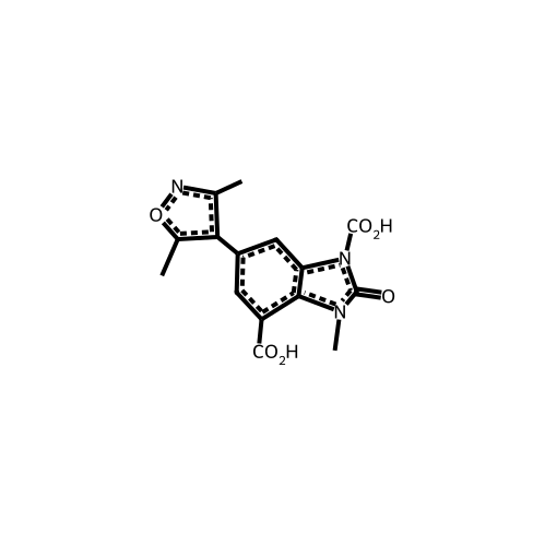 Cc1noc(C)c1-c1cc(C(=O)O)c2c(c1)n(C(=O)O)c(=O)n2C